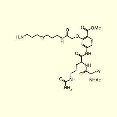 COC(=O)c1ccc(NC(=O)[C@H](CCCNC(N)=O)NC(=O)[C@@H](NC(C)=O)C(C)C)cc1OCC(=O)NCCCOCCCN